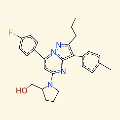 CCCc1nn2c(-c3ccc(F)cc3)cc(N3CCCC3CO)nc2c1-c1ccc(C)cc1